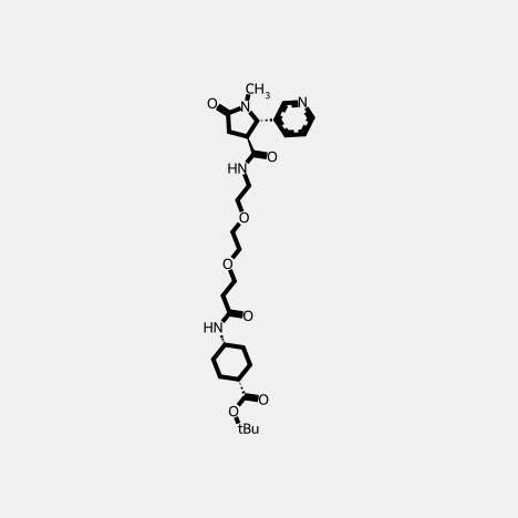 CN1C(=O)C[C@H](C(=O)NCCOCCOCCC(=O)N[C@H]2CC[C@@H](C(=O)OC(C)(C)C)CC2)[C@H]1c1cccnc1